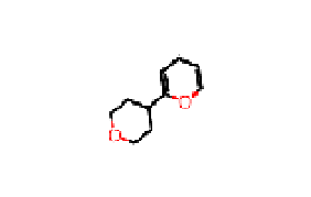 [CH]1C=COC(C2CCOCC2)=C1